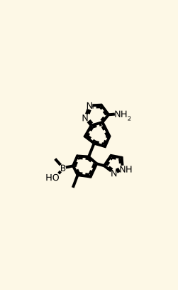 CB(O)c1cc(-c2ccc3c(N)cnnc3c2)c(-c2cc[nH]n2)cc1C